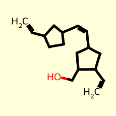 C=CC1CCC(/C=C\C2CC(C=C)C(CO)C2)C1